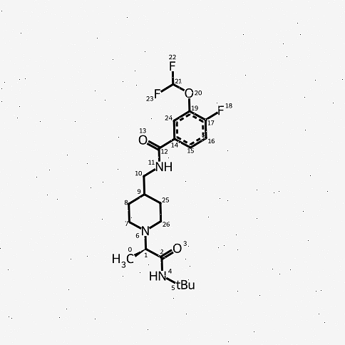 C[C@H](C(=O)NC(C)(C)C)N1CCC(CNC(=O)c2ccc(F)c(OC(F)F)c2)CC1